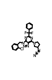 [N-]=[N+]=NC1CCN(c2nc(C(F)(F)c3ccccc3)nc3c2nnn3Cc2ccccc2Cl)C1